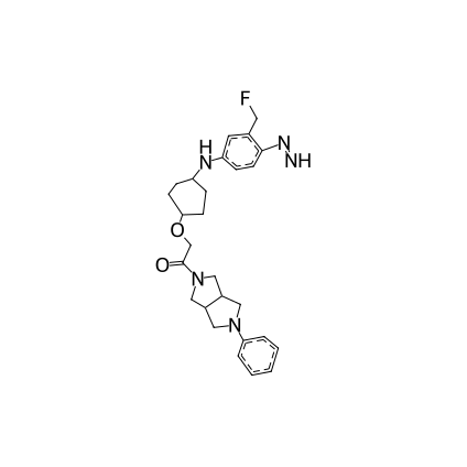 N=Nc1ccc(NC2CCC(OCC(=O)N3CC4CN(c5ccccc5)CC4C3)CC2)cc1CF